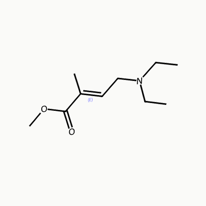 CCN(CC)C/C=C(\C)C(=O)OC